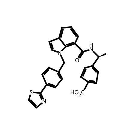 C[C@H](NC(=O)c1cccc2ccn(Cc3ccc(-c4nccs4)cc3)c12)c1ccc(C(=O)O)cc1